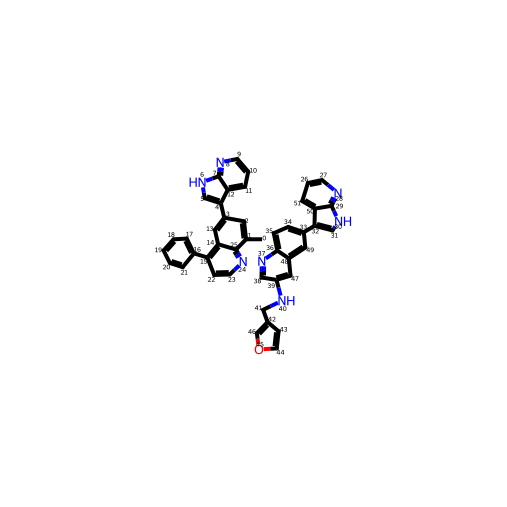 Cc1cc(-c2c[nH]c3ncccc23)cc2c(-c3ccccc3)ccnc12.c1cnc2[nH]cc(-c3ccc4ncc(NCc5ccoc5)cc4c3)c2c1